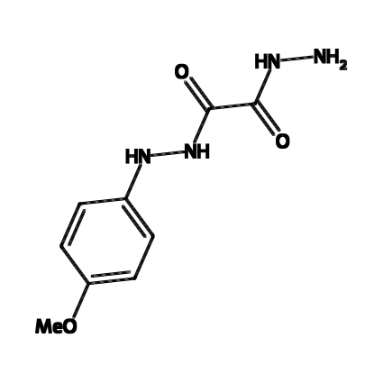 COc1ccc(NNC(=O)C(=O)NN)cc1